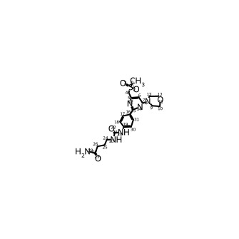 CS(=O)(=O)Cc1cc(N2CCOCC2)nc(-c2ccc(NC(=O)NCCCC(N)=O)cc2)n1